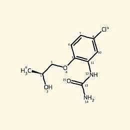 C[C@H](O)COc1ccc(Cl)cc1NC(N)=O